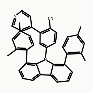 Cc1ccc(-c2cccc3c4cccc(-c5ccc(C)cc5C)c4n(-c4ccc(C#N)c(-c5ccncc5)c4)c23)c(C)c1